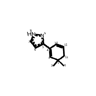 CC1(C)C=C(c2cc[nH]n2)C=CC1